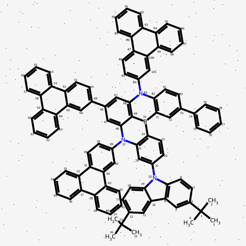 CC(C)(C)c1ccc2c(c1)c1cc(C(C)(C)C)ccc1n2-c1ccc2c(c1)N(c1ccc3c4ccccc4c4ccccc4c3c1)c1cc(-c3ccc4c5ccccc5c5ccccc5c4c3)cc3c1B2c1cc(-c2ccccc2)ccc1N3c1ccc2c3ccccc3c3ccccc3c2c1